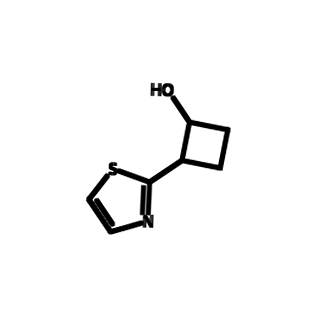 OC1CCC1c1nccs1